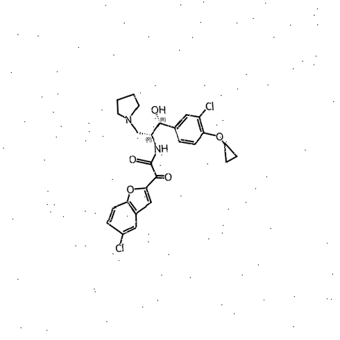 O=C(N[C@H](CN1CCCC1)[C@H](O)c1ccc(OC2CC2)c(Cl)c1)C(=O)c1cc2cc(Cl)ccc2o1